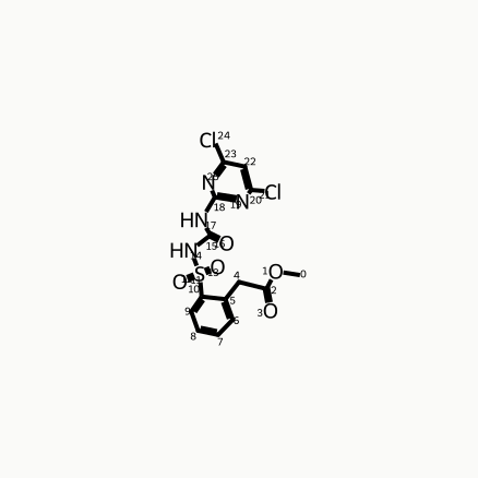 COC(=O)Cc1ccccc1S(=O)(=O)NC(=O)Nc1nc(Cl)cc(Cl)n1